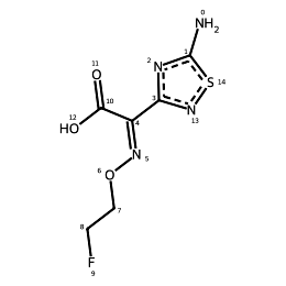 Nc1nc(/C(=N/OCCF)C(=O)O)ns1